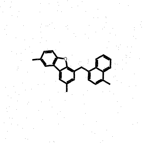 Cc1ccc2oc3c(Cc4ccc(C)c5ccccc45)cc(C)cc3c2c1